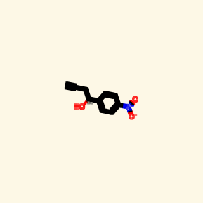 C#CC[C@@H](O)c1ccc([N+](=O)[O-])cc1